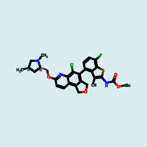 C[C@@H]1C[C@@H](COc2ccc3c4c(c(-c5ccc(F)c6sc(NC(=O)OC(C)(C)C)c(C#N)c56)c(Cl)c3n2)COC4)N(C)C1